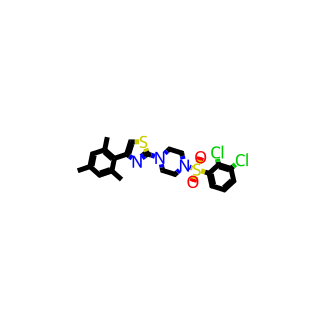 Cc1cc(C)c(-c2csc(N3CCN(S(=O)(=O)c4cccc(Cl)c4Cl)CC3)n2)c(C)c1